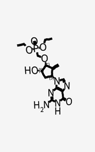 C=C1[C@H](OCP(=O)(OCC)OCC)[C@@H](O)C[C@@H]1n1cnc2c(=O)[nH]c(N)nc21